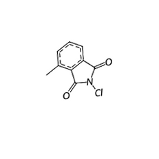 Cc1cccc2c1C(=O)N(Cl)C2=O